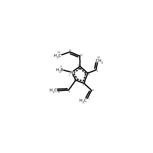 Bn1c(C=C)c(C=C)c(C=C)c1/C=C\C